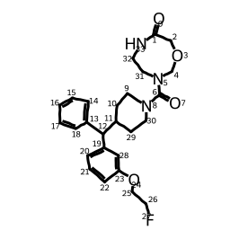 O=C1COCN(C(=O)N2CCC(C(c3ccccc3)c3cccc(OCCF)c3)CC2)CCN1